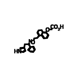 O=C(O)COc1cccc2c1CCC=C2CCON=C(Cc1cc[nH]c1)c1ccccc1